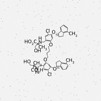 Cc1cccc2c1CC[C@@H]2Oc1cc(OCCCCOc2cc(O[C@H]3CCc4c(C)cccc43)c(Cl)cc2CN[C@@](C)(CO)C(=O)O)c(CN[C@@](C)(CO)C(=O)O)cc1Cl